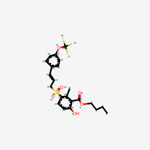 CCCCOC(=O)c1c(O)ccc(S(=O)(=O)CC=Cc2ccc(OC(F)(F)F)cc2)c1C